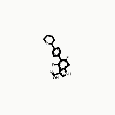 O=C(O)c1c[nH]c2cc(F)c(-c3ccc(C4CCCCO4)cc3)c(F)c12